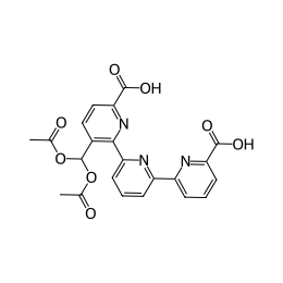 CC(=O)OC(OC(C)=O)c1ccc(C(=O)O)nc1-c1cccc(-c2cccc(C(=O)O)n2)n1